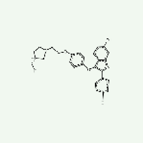 Oc1ccc(-c2sc3cc(O)ccc3c2Oc2ccc(OCCN3CC[C@@H](CF)C3)cc2)cc1